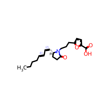 CCCC/C=C/C=C\[C@H]1CCC(=O)N1CCCc1ccc(C(=O)O)o1